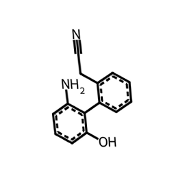 N#CCc1ccccc1-c1c(N)cccc1O